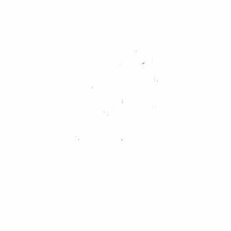 C[C@]1(O)CC[C@@](F)(C(=O)NCc2ncc(Cl)cc2Cl)c2cccnc21